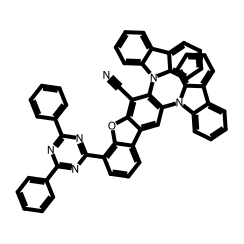 N#Cc1c(-n2c3ccccc3c3ccccc32)c(-n2c3ccccc3c3ccccc32)cc2c1oc1c(-c3nc(-c4ccccc4)nc(-c4ccccc4)n3)cccc12